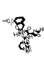 Nc1nc(C(NC(=O)N2CCCN(O)S2(=O)=O)C(=O)N[C@H]2Cc3cccc(C(=O)O)c3OB2O)cs1